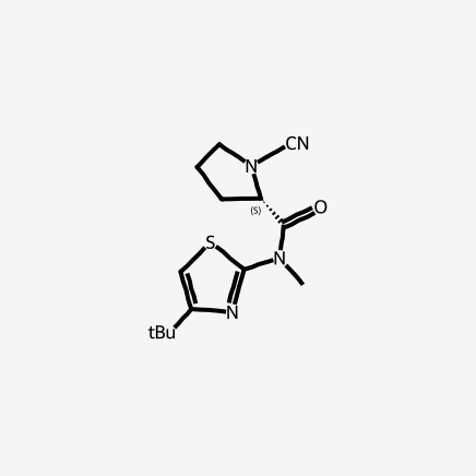 CN(C(=O)[C@@H]1CCCN1C#N)c1nc(C(C)(C)C)cs1